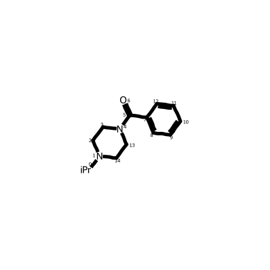 CC(C)N1CCN(C(=O)c2cc[c]cc2)CC1